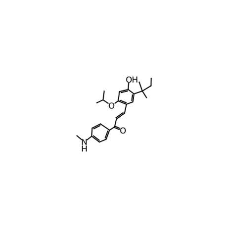 CCC(C)(C)c1cc(C=CC(=O)c2ccc(NC)cc2)c(OC(C)C)cc1O